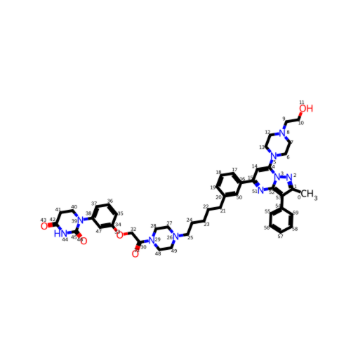 Cc1nn2c(N3CCN(CCO)CC3)cc(-c3cccc(CCCCCN4CCN(C(=O)COc5cccc(N6CCC(=O)NC6=O)c5)CC4)c3)nc2c1-c1ccccc1